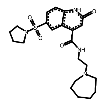 O=C(NCCN1CCCCCC1)c1cc(=O)[nH]c2ccc(S(=O)(=O)N3CCCC3)cc12